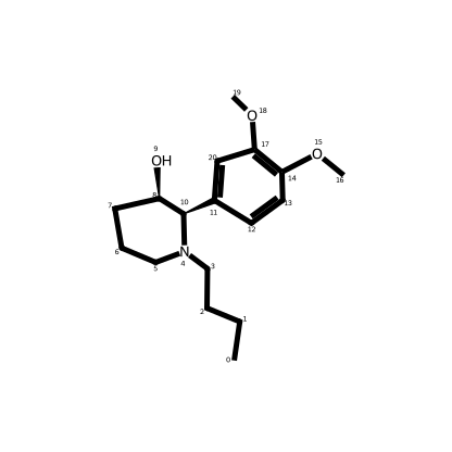 CCCCN1CCC[C@@H](O)[C@H]1c1ccc(OC)c(OC)c1